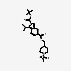 CC(C)c1c2ccc(C(=O)NCC3CCN(S(C)(=O)=O)CC3)cc2cn1C(=O)OC(C)(C)C